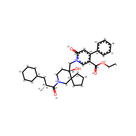 CCOC(=O)c1cn(C[C@@]2(O)CCN(C(=O)[C@H](C)CC3CCCCC3)CC23CCCC3)c(=O)cc1-c1ccccc1